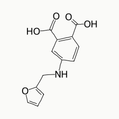 O=C(O)c1ccc(NCc2ccco2)cc1C(=O)O